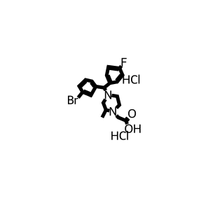 CC1CN(C(c2ccc(F)cc2)c2cccc(Br)c2)CCN1CC(=O)O.Cl.Cl